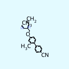 C=C/C=C(\C=C/C)COc1ccc(-c2ccc(C#N)cc2)c(C)c1